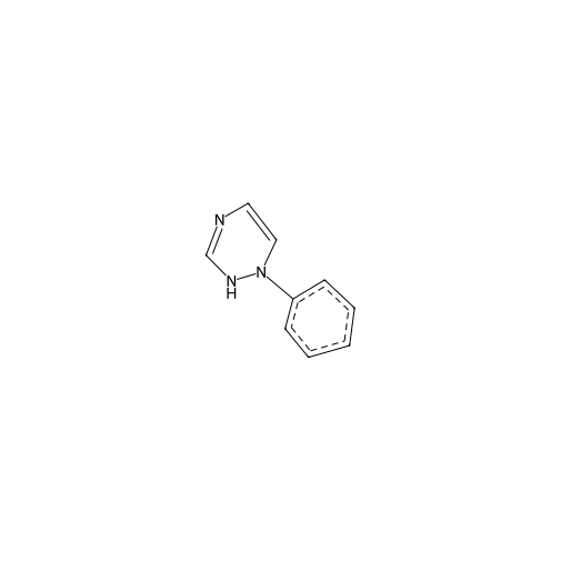 C1=CN(c2ccccc2)NC=N1